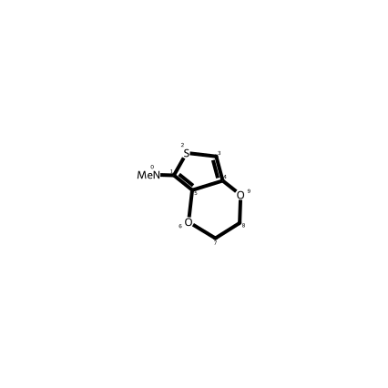 CNc1scc2c1OCCO2